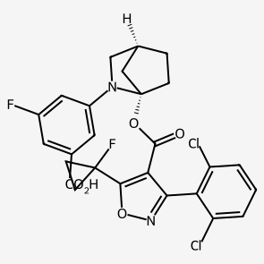 O=C(O)c1cc(F)cc(N2C[C@H]3CC[C@]2(OC(=O)c2c(-c4c(Cl)cccc4Cl)noc2C2(F)CC2)C3)c1